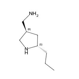 CCC[C@H]1C[C@H](CN)CN1